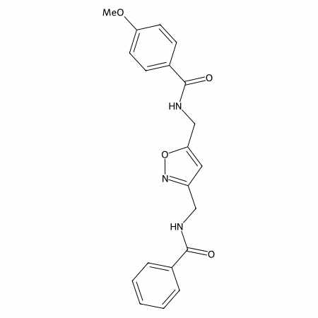 COc1ccc(C(=O)NCc2cc(CNC(=O)c3ccccc3)no2)cc1